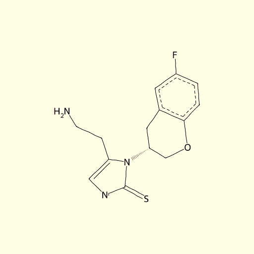 NCCC1=C[N]C(=S)N1[C@H]1COc2ccc(F)cc2C1